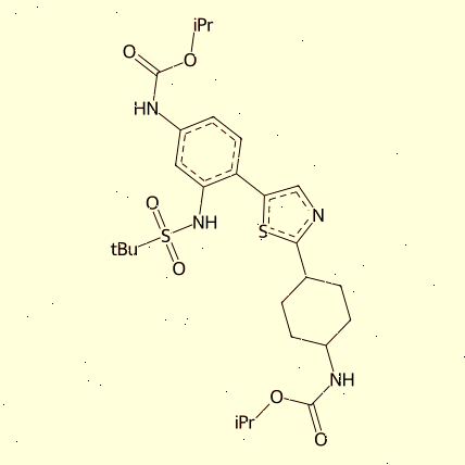 CC(C)OC(=O)Nc1ccc(-c2cnc(C3CCC(NC(=O)OC(C)C)CC3)s2)c(NS(=O)(=O)C(C)(C)C)c1